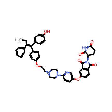 CC/C(=C(\c1ccc(O)cc1)c1ccc(OCCN2CCN(c3ccc(Oc4ccc5c(c4)C(=O)N(C4CCC(=O)NC4=O)C5=O)cn3)CC2)cc1)c1ccccc1